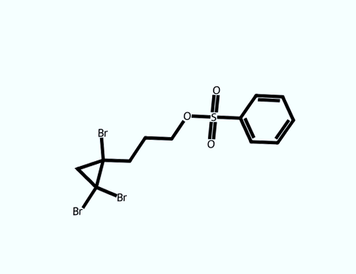 O=S(=O)(OCCCC1(Br)CC1(Br)Br)c1ccccc1